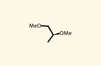 COC[C@H](C)OC